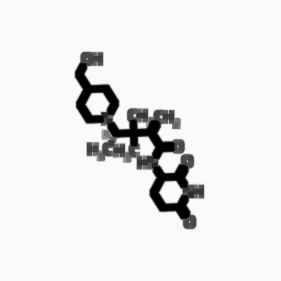 C=C(C(=O)NC1CCC(=O)NC1=O)C(C)(C)[C@H](C)N1CCC(CO)CC1